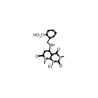 CCn1c(=O)n(C)c(=O)c2c(NCc3ccccc3C(=O)O)cc(=O)n(C)c21